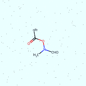 CCCC(=O)ON(C)C=O